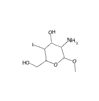 COC1OC(CO)C(I)C(O)C1N